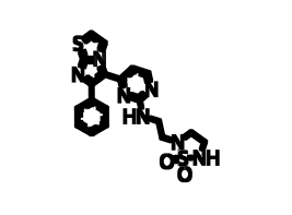 O=S1(=O)NCCN1CCNc1nccc(-c2c(-c3ccccc3)nc3sccn23)n1